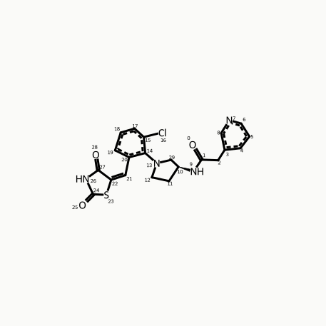 O=C(Cc1cccnc1)N[C@H]1CCN(c2c(Cl)cccc2C=C2SC(=O)NC2=O)C1